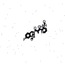 C/C(C(=O)NCc1ccc(F)cc1S(C)(=O)=O)=C(/O)c1ncccc1NC=O